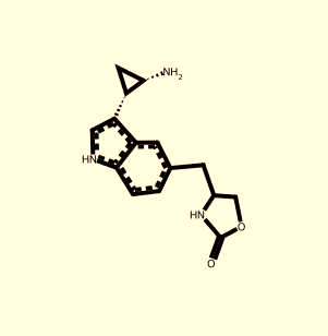 N[C@H]1C[C@H]1c1c[nH]c2ccc(CC3COC(=O)N3)cc12